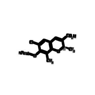 CCCCCOc1c(Cl)cc2c(c1C)O[C@@H](C(F)(F)F)C(C(=O)O)=C2